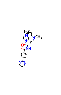 C=CCN(C)CCC[C@H](NC(=O)c1ccc(-c2ncccn2)cc1)C(=O)N1CCN(C)CC1